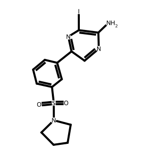 Nc1ncc(-c2cccc(S(=O)(=O)N3CCCC3)c2)nc1I